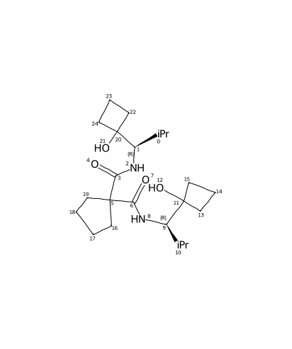 CC(C)[C@@H](NC(=O)C1(C(=O)N[C@H](C(C)C)C2(O)CCC2)CCCC1)C1(O)CCC1